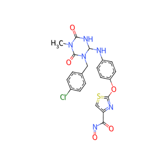 CN1C(=O)NC(Nc2ccc(Oc3nc(C(=O)N=O)cs3)cc2)N(Cc2ccc(Cl)cc2)C1=O